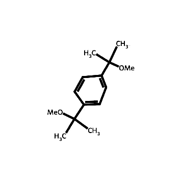 COC(C)(C)c1ccc(C(C)(C)OC)cc1